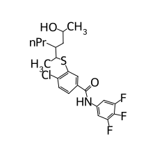 CCCC(CC(C)O)C(C)Sc1cc(C(=O)Nc2cc(F)c(F)c(F)c2)ccc1Cl